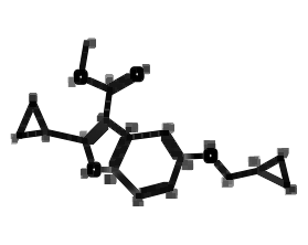 COC(=O)c1c(C2CC2)oc2ccc(OCC3CC3)cc12